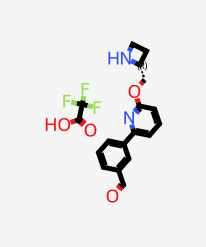 O=C(O)C(F)(F)F.O=Cc1cccc(-c2cccc(OC[C@H]3CCN3)n2)c1